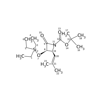 CC[Si](CC)(CC)O[C@H]1C(=O)N(C(=O)OC(C)(C)C)[C@H]1C=C(C)C